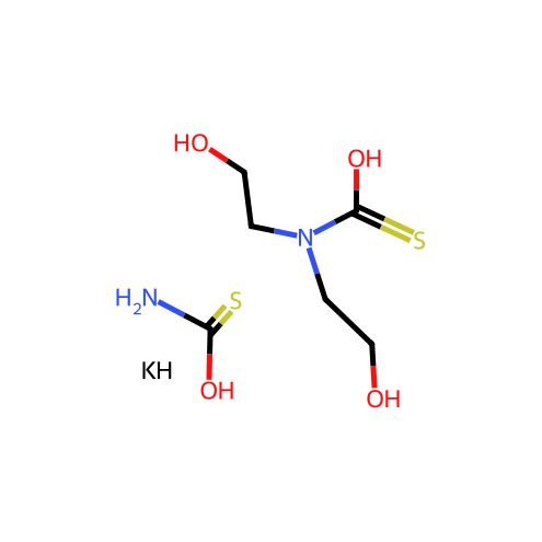 NC(O)=S.OCCN(CCO)C(O)=S.[KH]